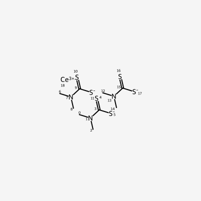 CN(C)C(=S)[S-].CN(C)C(=S)[S-].CN(C)C(=S)[S-].[Ce+3]